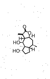 C=C1C(=O)O[C@H]2C[C@@H](C)[C@@H]3CC[C@H](O)[C@@]3(C)[C@@H](O)[C@H]12